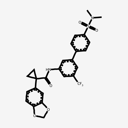 CN(C)S(=O)(=O)c1ccc(-c2cc(NC(=O)C3(c4ccc5c(c4)OCO5)CC3)cc(C(F)(F)F)c2)cc1